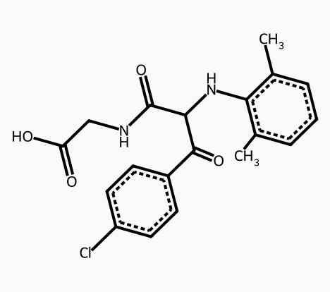 Cc1cccc(C)c1NC(C(=O)NCC(=O)O)C(=O)c1ccc(Cl)cc1